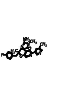 Cc1cncc(-c2cc3c(cn2)O[C@](C)(Cc2ccc(F)cc2)CC32N=C(N)N(C)C2=O)c1